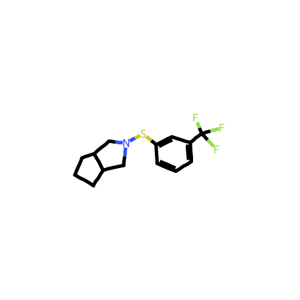 FC(F)(F)c1cccc(SN2CC3CCCC3C2)c1